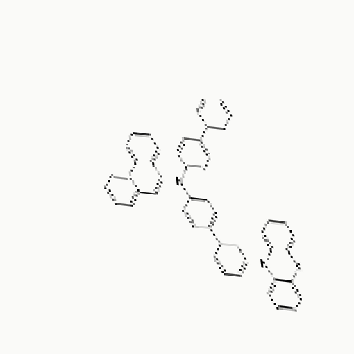 c1ccc(-c2ccc(N(c3ccc(-c4cccc(N5c6ccccc6Sc6ccccc65)c4)cc3)c3cc4ccccc4c4ccccc34)cc2)cc1